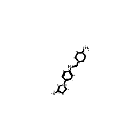 NC1CCC(CNc2ccc(N3CCC(O)C3)cc2)CC1